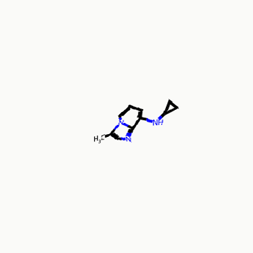 Cc1cnc2c(NC3CC3)cccn12